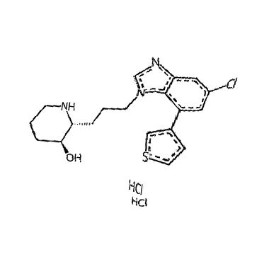 Cl.Cl.O[C@H]1CCCN[C@@H]1CCCn1cnc2cc(Cl)cc(-c3ccsc3)c21